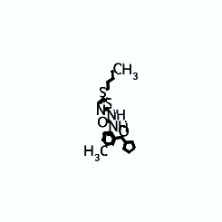 CCCCCSc1cnc(NC(=O)Nc2ccc(C)cc2C(=O)C2CCCC2)s1